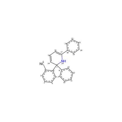 N#Cc1ccccc1C1(c2ccccc2)C=CC=C(c2ccccc2)N1